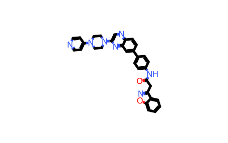 O=C(Cc1noc2ccccc12)Nc1ccc(-c2ccc3ncc(N4CCN(c5ccncc5)CC4)nc3c2)cc1